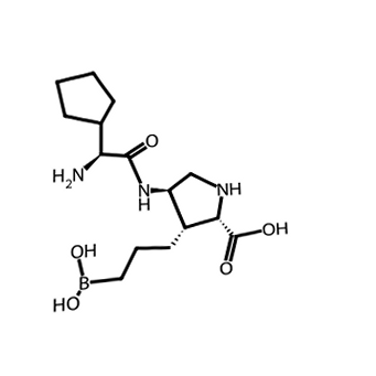 N[C@H](C(=O)N[C@H]1CN[C@H](C(=O)O)[C@@H]1CCCB(O)O)C1CCCC1